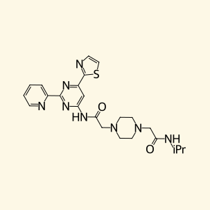 CC(C)NC(=O)CN1CCN(CC(=O)Nc2cc(-c3nccs3)nc(-c3ccccn3)n2)CC1